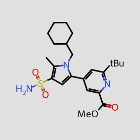 COC(=O)c1cc(-c2cc(S(N)(=O)=O)c(C)n2CC2CCCCC2)cc(C(C)(C)C)n1